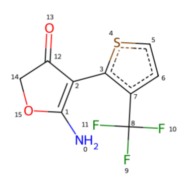 NC1=C(c2sccc2C(F)(F)F)C(=O)CO1